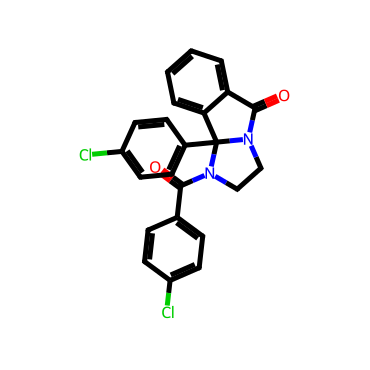 O=C(c1ccc(Cl)cc1)N1CCN2C(=O)c3ccccc3C12c1ccc(Cl)cc1